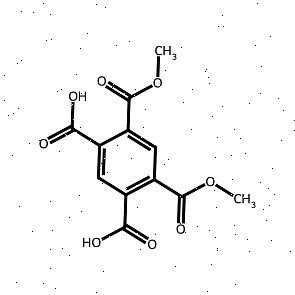 COC(=O)c1cc(C(=O)OC)c(C(=O)O)cc1C(=O)O